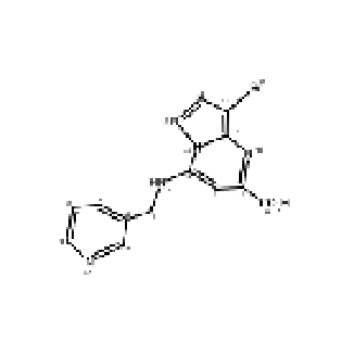 CCOC(=O)c1cc(NCc2cccnc2)n2ncc(Br)c2n1